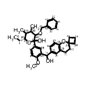 CC[C@H]1OC(O)(c2ccc(OC)c(C(O)c3ccc4c(c3)CCC3(CCC3)O4)c2)C(OCc2ccccc2)C(C)C1C